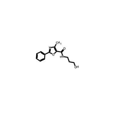 Cc1nc(-c2ccccc2)oc1C(=O)NCCCO